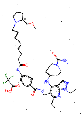 CCc1nc2c(cnn2CC)c(NC2CCN(C(N)=O)CC2)c1CNC(=O)c1ccc(NC(=O)CCCCCCCN2CCC[C@H]2COC)cc1.O=C(O)C(F)(F)F